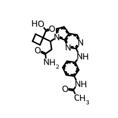 CC(=O)Nc1cccc(Nc2ncc3ccn(C(CC(N)=O)C4(C(=O)O)CCC4)c3n2)c1